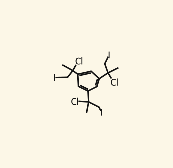 CC(Cl)(CI)c1cc(C(C)(Cl)CI)cc(C(C)(Cl)CI)c1